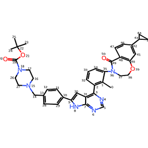 Cc1c(-c2ncnc3[nH]c(-c4ccc(CN5CCN(C(=O)OC(C)(C)C)CC5)cc4)cc23)cccc1N1CCOc2cc(C3CC3)ccc2C1=O